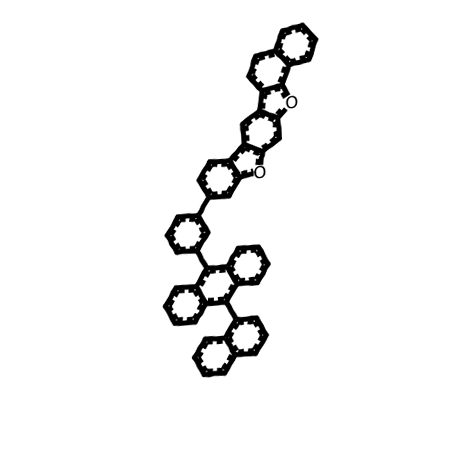 c1cc(-c2ccc3c(c2)oc2cc4oc5c6ccccc6ccc5c4cc23)cc(-c2c3ccccc3c(-c3cccc4ccccc34)c3ccccc23)c1